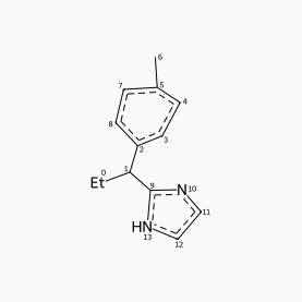 CCC(c1ccc(C)cc1)c1ncc[nH]1